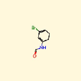 O=CNC1=CC(Br)=CCC1